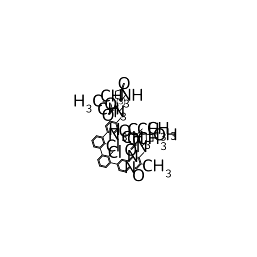 COc1nc(-c2cccc(-c3cccc(-c4ccn5c(=O)c(C)c(CN(C(=O)OC(C)(C)C)C6CC(C)(O)C6)nc5c4)c3Cl)c2Cl)ccc1CN(C[C@@H]1CCC(=O)N1)C(=O)OC(C)(C)C